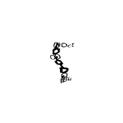 CCCCCCCCOc1ccc(OC(=O)c2ccc(-c3ccc(OC[C@@H](C)CC)cc3)cc2)cc1